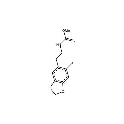 COC(=O)NCCc1cc2c(cc1I)OCO2